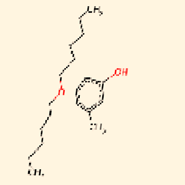 CCCCCCOCCCCCC.Cc1cccc(O)c1